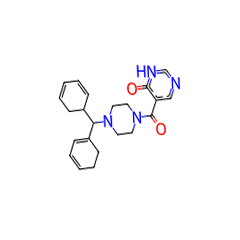 O=C(c1cnc[nH]c1=O)N1CCN(C(C2=CC=CCC2)C2C=CC=CC2)CC1